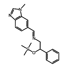 Cn1cnc2ccc(C=NCC(O[Si](C)(C)C)c3ccccc3)cc21